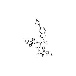 C[C@H](Oc1ccc(S(C)(=O)=O)cc1C(=O)N1Cc2ccc(-n3ccnc3)cc2C1)C(F)(F)F